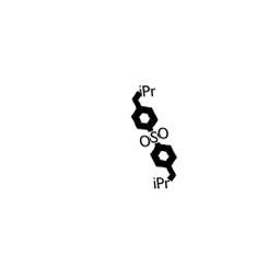 CC(C)Cc1ccc(S(=O)(=O)c2ccc(CC(C)C)cc2)cc1